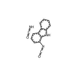 N=C=O.O=C=Nc1cccc2c1[nH]c1ccccc12